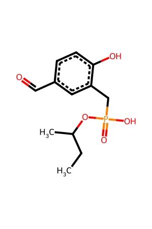 CCC(C)OP(=O)(O)Cc1cc(C=O)ccc1O